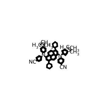 C[Si](C)(C)c1ccc(N(c2ccc(C#N)cc2)c2cc(C3CCCCC3)c3ccc4c(N(c5ccc(C#N)cc5)c5ccc([Si](C)(C)C)cc5)cc(C5CCCCC5)c5ccc2c3c54)cc1